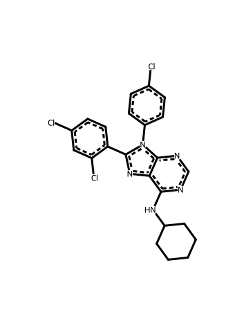 Clc1ccc(-n2c(-c3ccc(Cl)cc3Cl)nc3c(NC4CCCCC4)ncnc32)cc1